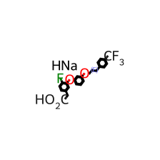 O=C(O)Cc1ccc(F)c(Oc2cccc(OC/C=C/c3ccc(C(F)(F)F)cc3)c2)c1.[NaH]